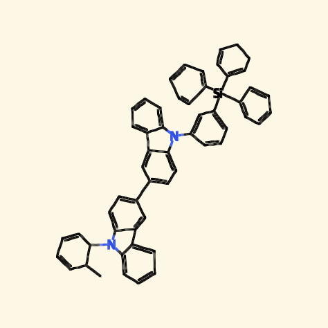 CC1C=CC=CC1n1c2ccccc2c2cc(-c3ccc4c(c3)c3ccccc3n4-c3cccc([Si](C4=CCCC=C4)(c4ccccc4)c4ccccc4)c3)ccc21